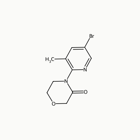 Cc1cc(Br)cnc1N1CCOCC1=O